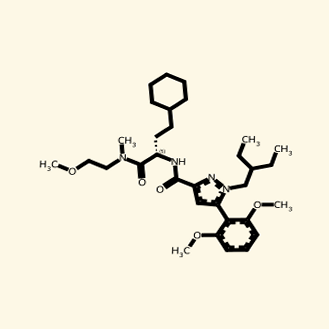 CCC(CC)Cn1nc(C(=O)N[C@@H](CCC2CCCCC2)C(=O)N(C)CCOC)cc1-c1c(OC)cccc1OC